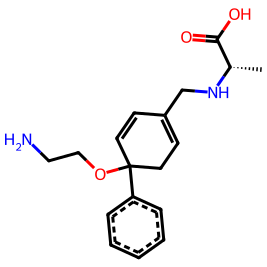 C[C@H](NCC1=CCC(OCCN)(c2ccccc2)C=C1)C(=O)O